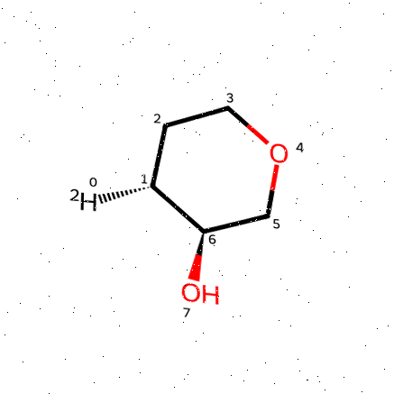 [2H][C@@H]1CCOC[C@H]1O